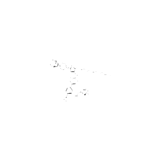 COCCOCCOCCCOc1nn(C2CCC(N3[C@@H]4CC[C@H]3COC4)CC2)cc1Nc1ncc(-c2ccc(C#N)c(O[C@@H](C)Cn3cnnn3)c2)cn1